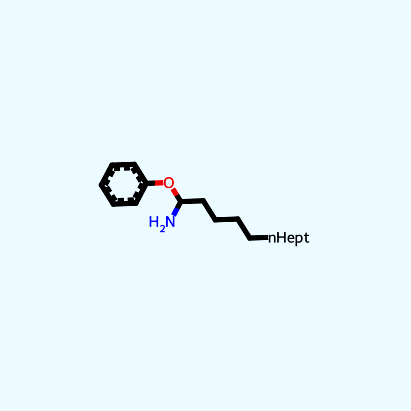 CCCCCCCCCCCC(N)Oc1ccccc1